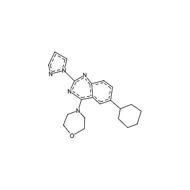 c1cnn(-c2nc(N3CCOCC3)c3cc(C4CCCCC4)ccc3n2)c1